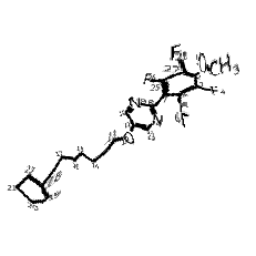 COc1c(F)c(F)c(-c2ncc(OCCCCCC3CCCC3)cn2)c(F)c1F